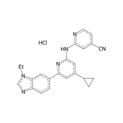 CCn1cnc2ccc(-c3cc(C4CC4)cc(Nc4cc(C#N)ccn4)n3)cc21.Cl